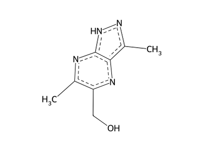 Cc1nc2[nH]nc(C)c2nc1CO